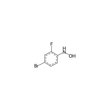 ONc1ccc(Br)cc1F